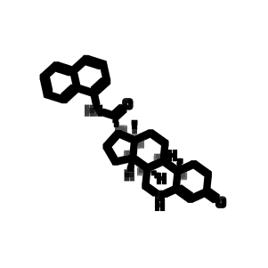 C[C@]12CC[C@H]3[C@@H](CNC4=CC(=O)CC[C@@]43C)[C@@H]1CC[C@@H]2C(=O)Nc1cccc2ccccc12